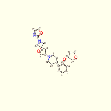 c1ccc(C2CCN([C@@H]3COC4(C3)CN(c3ncco3)C4)CC2)c(O[C@@H]2CCOC2)c1